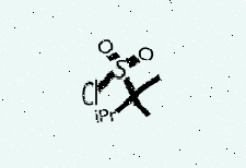 CC(C)C(C)(C)S(=O)(=O)Cl